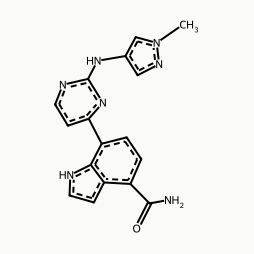 Cn1cc(Nc2nccc(-c3ccc(C(N)=O)c4cc[nH]c34)n2)cn1